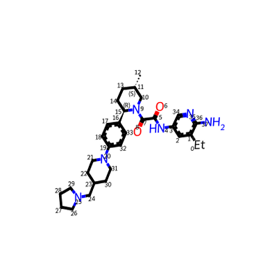 CCc1cc(NC(=O)C(=O)N2C[C@@H](C)CC[C@@H]2c2ccc(N3CCC(CN4CCCC4)CC3)cc2)cnc1N